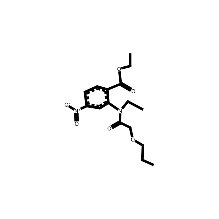 CCCOCC(=O)N(CC)c1cc([N+](=O)[O-])ccc1C(=O)OCC